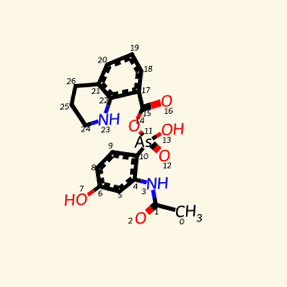 CC(=O)Nc1cc(O)ccc1[As](=O)(O)OC(=O)c1cccc2c1NCCC2